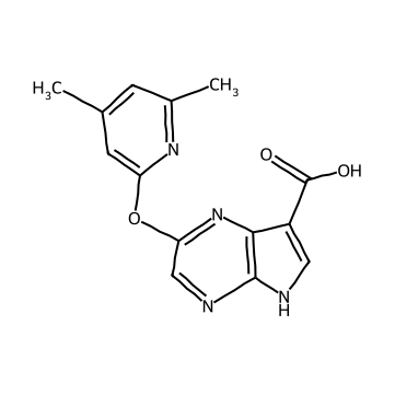 Cc1cc(C)nc(Oc2cnc3[nH]cc(C(=O)O)c3n2)c1